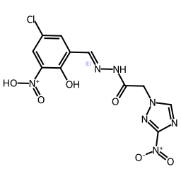 O=C(Cn1cnc([N+](=O)[O-])n1)N/N=C/c1cc(Cl)cc([N+](=O)O)c1O